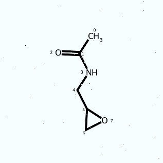 CC(=O)NCC1CO1